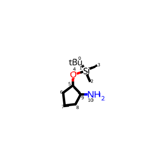 CC(C)(C)[Si](C)(C)OC1CCCC1N